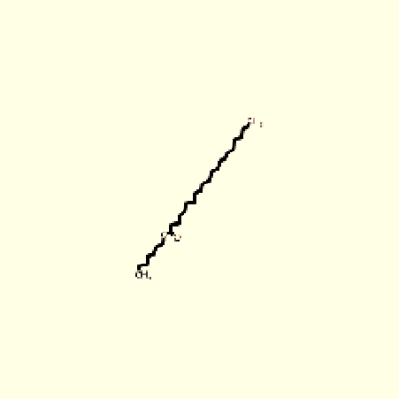 CCCCCCCCCCCCCCCCCCCCCC(=O)OCCCCCCC